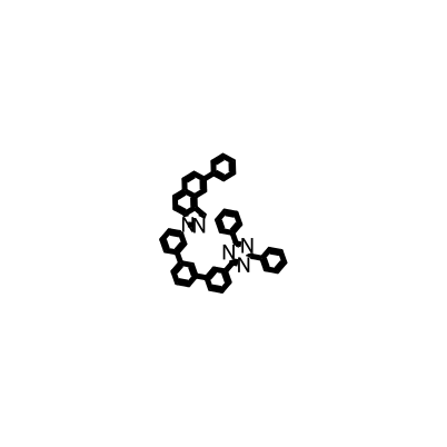 c1ccc(-c2ccc3ccc4c(cnn4-c4cccc(-c5cccc(-c6cccc(-c7nc(-c8ccccc8)nc(-c8ccccc8)n7)c6)c5)c4)c3c2)cc1